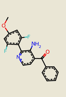 COc1cc(F)c(-c2nccc(C(=O)c3ccccc3)c2N)c(F)c1